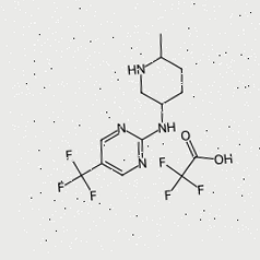 CC1CCC(Nc2ncc(C(F)(F)F)cn2)CN1.O=C(O)C(F)(F)F